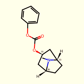 CN1[C@@H]2CC[C@H]1C[C@H](OC(=O)Oc1ccccc1)C2